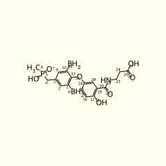 Bc1cc(CP(C)(=O)O)cc(B)c1Oc1ccc(O)c(C(=O)NCCC(=O)O)c1